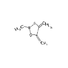 C=C1OB(C)OC1=C